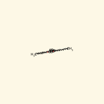 CCCCCCCCCCCCCCOOC(=O)OC(=O)OCCCCCCCCCCCCCC